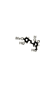 COc1ccc(C=Cc2oc(CO)cc(=O)c2O)cc1O